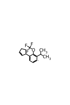 CC(C)c1[c]ccc(C2C=CCC2)c1OC(F)(F)F